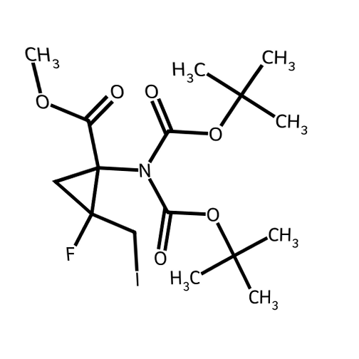 COC(=O)C1(N(C(=O)OC(C)(C)C)C(=O)OC(C)(C)C)CC1(F)CI